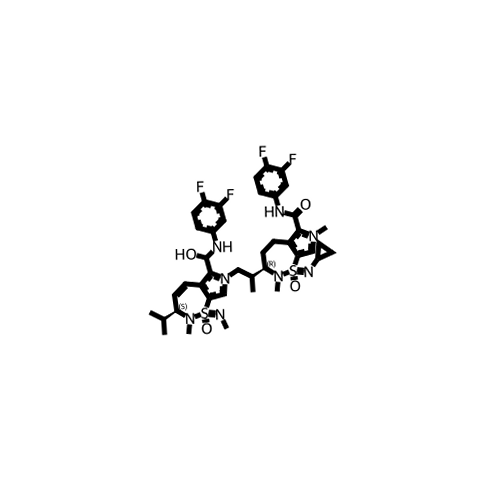 CN=S1(=O)c2cn(CC(C)[C@H]3CCc4c(cn(C)c4C(=O)Nc4ccc(F)c(F)c4)S(=O)(=NC4CC4)N3C)c(C(O)Nc3ccc(F)c(F)c3)c2C=C[C@H](C(C)C)N1C